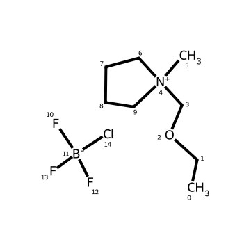 CCOC[N+]1(C)CCCC1.F[B-](F)(F)Cl